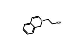 OCCN1C=Cc2ccccc2C1